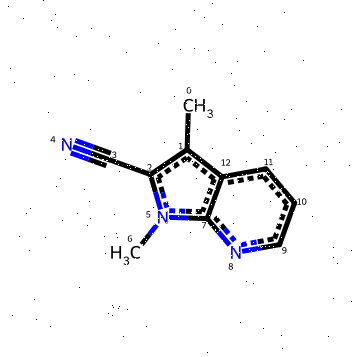 Cc1c(C#N)n(C)c2ncccc12